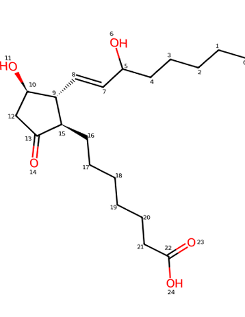 CCCCCC(O)/C=C/[C@H]1[C@H](O)CC(=O)[C@@H]1CCCCCCC(=O)O